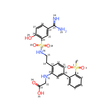 CS(=O)(=O)c1ccccc1-c1ccc(CCNS(=O)(=O)c2cc(C(=N)N)ccc2O)c(NCC(=O)O)c1